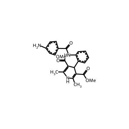 COC(=O)C1=C(C)NC(C)=C(C(=O)OC)C1c1ccccc1NC(=O)c1ccc(N)cc1